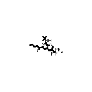 CCCCC(=O)c1cc2cc(C(F)(F)P)cnc2c(NC(C)(C)C)n1